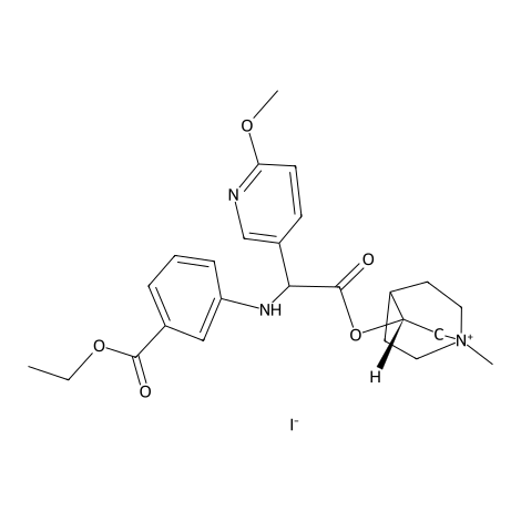 CCOC(=O)c1cccc(NC(C(=O)O[C@H]2C[N+]3(C)CCC2CC3)c2ccc(OC)nc2)c1.[I-]